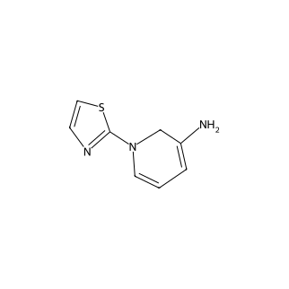 NC1=CC=CN(c2nccs2)C1